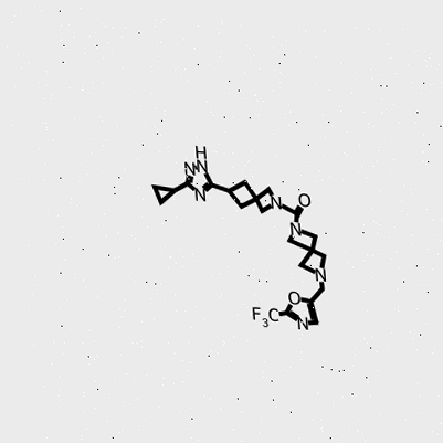 O=C(N1CC2(CC(c3nc(C4CC4)n[nH]3)C2)C1)N1CC2(CN(Cc3cnc(C(F)(F)F)o3)C2)C1